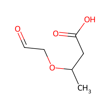 CC(CC(=O)O)OCC=O